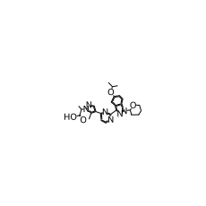 Cc1c(-c2ccnc(-c3nn(C4CCCCO4)c4ccc(OC(C)C)cc34)n2)cnn1C(C)C(=O)O